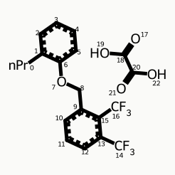 CCCc1ccccc1OCc1cccc(C(F)(F)F)c1C(F)(F)F.O=C(O)C(=O)O